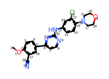 COc1ccc(-c2ccnc(Nc3ccc(N4CCOCC4)c(Cl)c3)n2)cc1C#N